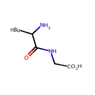 CCCCC(N)C(=O)NCC(=O)O